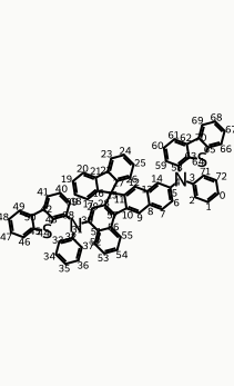 c1ccc(N(c2ccc3cc4c(cc3c2)C2(c3ccccc3-c3ccccc32)c2cc(N(c3ccccc3)c3cccc5c3sc3ccccc35)c3ccccc3c2-4)c2cccc3c2sc2ccccc23)cc1